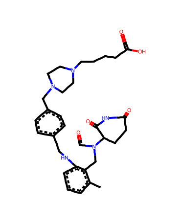 Cc1cccc(NCc2ccc(CN3CCN(CCCCC(=O)O)CC3)cc2)c1CN(C=O)C1CCC(=O)NC1=O